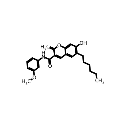 C=C1Oc2cc(O)c(CCCCCC)cc2C=C1C(=O)Nc1cccc(OC)c1